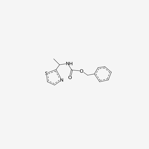 CC(NC(=O)OCc1ccccc1)c1nccs1